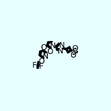 CC(F)(F)COc1ccc(O[C@H]2CCN(c3cnc(C4CC(S(C)(=O)=O)C4)nc3)C2=O)cn1